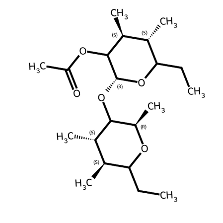 CCC1O[C@H](OC2[C@@H](C)[C@H](C)C(CC)O[C@@H]2C)C(OC(C)=O)[C@@H](C)[C@@H]1C